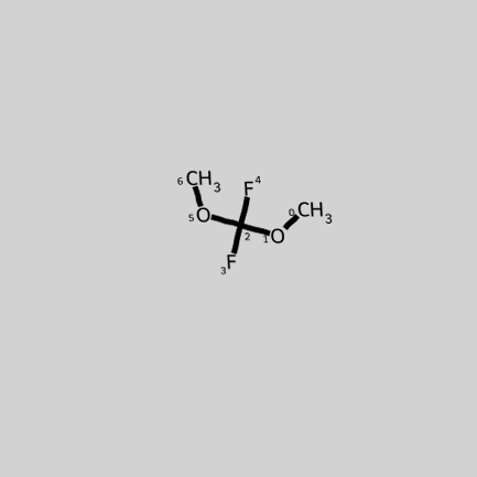 COC(F)(F)OC